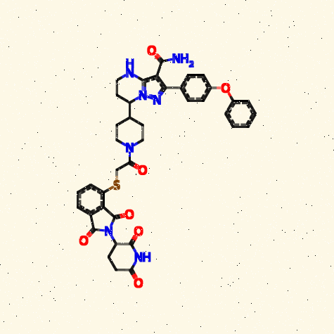 NC(=O)c1c(-c2ccc(Oc3ccccc3)cc2)nn2c1NCCC2C1CCN(C(=O)CSc2cccc3c2C(=O)N(C2CCC(=O)NC2=O)C3=O)CC1